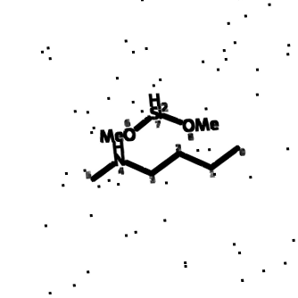 CCCCNC.CO[SiH2]OC